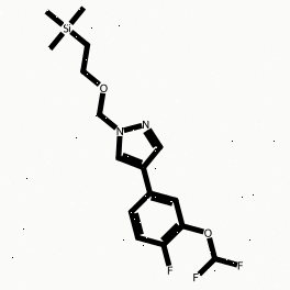 C[Si](C)(C)CCOCn1cc(-c2ccc(F)c(OC(F)F)c2)cn1